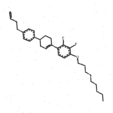 C=CCCc1ccc(C2CC=C(c3ccc(OCCCCCCCCC)c(F)c3F)CC2)cc1